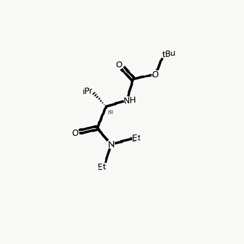 CCN(CC)C(=O)[C@@H](NC(=O)OC(C)(C)C)C(C)C